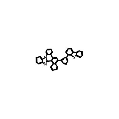 c1cc(-c2cc3c4ccccc4n4c5ccccc5nc4c3c3ccccc23)cc(-c2cccc3c2sc2ccccc23)c1